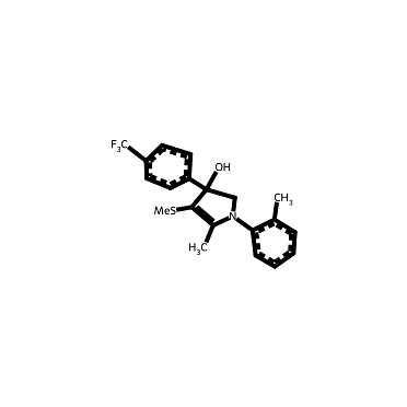 CSC1=C(C)N(c2ccccc2C)CC1(O)c1ccc(C(F)(F)F)cc1